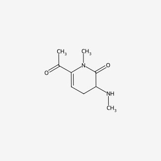 CNC1CC=C(C(C)=O)N(C)C1=O